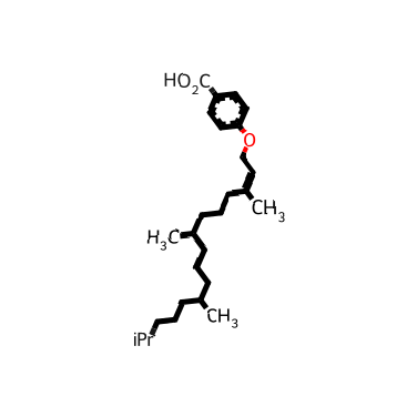 CC(=CCOc1ccc(C(=O)O)cc1)CCCC(C)CCCC(C)CCCC(C)C